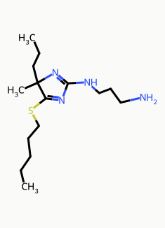 CCCCCSC1=NC(NCCCN)=NC1(C)CCC